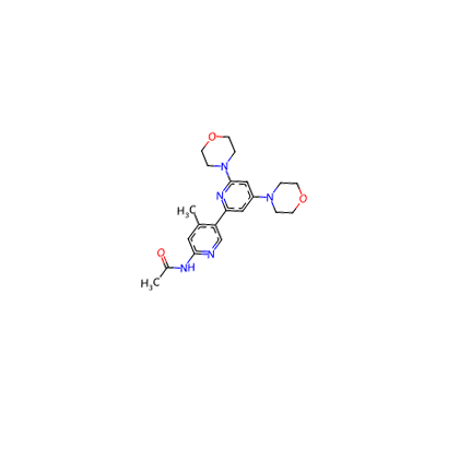 CC(=O)Nc1cc(C)c(-c2cc(N3CCOCC3)cc(N3CCOCC3)n2)cn1